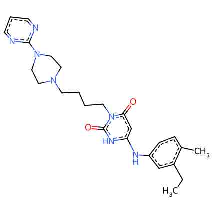 CCc1cc(Nc2cc(=O)n(CCCCN3CCN(c4ncccn4)CC3)c(=O)[nH]2)ccc1C